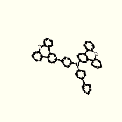 c1ccc(-c2ccc(N(c3ccc(-c4ccc5c(c4)-c4ccccc4Oc4ccccc4-5)cc3)c3ccc4c(c3)-c3ccccc3Oc3ccccc3-4)cc2)cc1